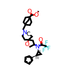 COC(=O)C12CCC(CN3CCC4(CC3)CC(N(C(=O)C(F)(F)F)[C@@H]3C[C@H]3c3ccccc3)CO4)(CC1)CC2